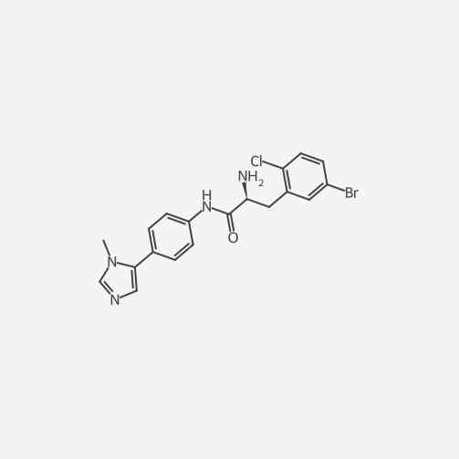 Cn1cncc1-c1ccc(NC(=O)[C@@H](N)Cc2cc(Br)ccc2Cl)cc1